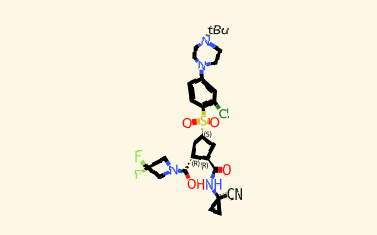 CC(C)(C)N1CCN(c2ccc(S(=O)(=O)[C@@H]3C[C@@H](C(=O)NC4(C#N)CC4)[C@H](C(O)N4CC(F)(F)C4)C3)c(Cl)c2)CC1